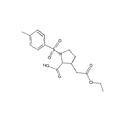 CCOC(=O)CC1CCN(S(=O)(=O)c2ccc(C)cc2)C1C(=O)O